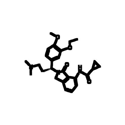 CCOc1cc([C@@H](CCN(C)C)N2Cc3cccc(NC(=O)C4CC4)c3C2=O)ccc1OC